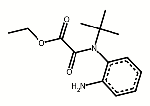 CCOC(=O)C(=O)N(c1ccccc1N)C(C)(C)C